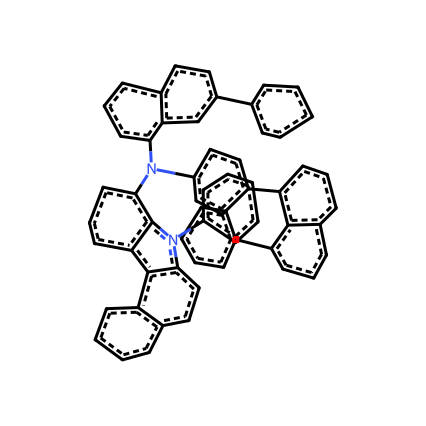 c1ccc(-c2ccc3cccc(N(c4ccc(-c5cccc6cccc(-c7ccccc7)c56)cc4)c4cccc5c6c7ccccc7ccc6n(-c6ccccc6)c45)c3c2)cc1